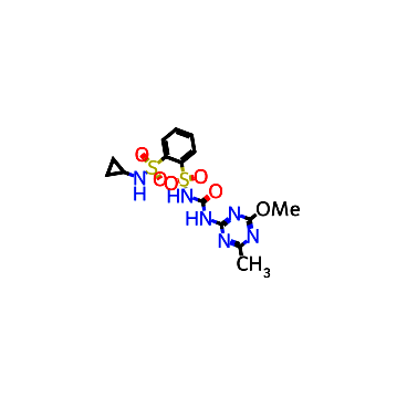 COc1nc(C)nc(NC(=O)NS(=O)(=O)c2ccccc2S(=O)(=O)NC2CC2)n1